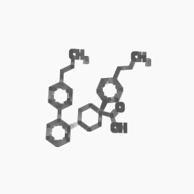 CCCc1ccc(-c2ccccc2[C@H]2CC[C@](C(=O)O)(c3ccc(CCC)cc3)CC2)cc1